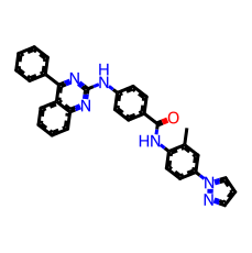 Cc1cc(-n2cccn2)ccc1NC(=O)c1ccc(Nc2nc(-c3ccccc3)c3ccccc3n2)cc1